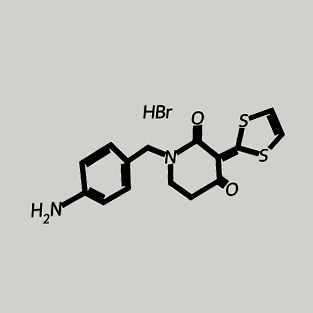 Br.Nc1ccc(CN2CCC(=O)C(=C3SC=CS3)C2=O)cc1